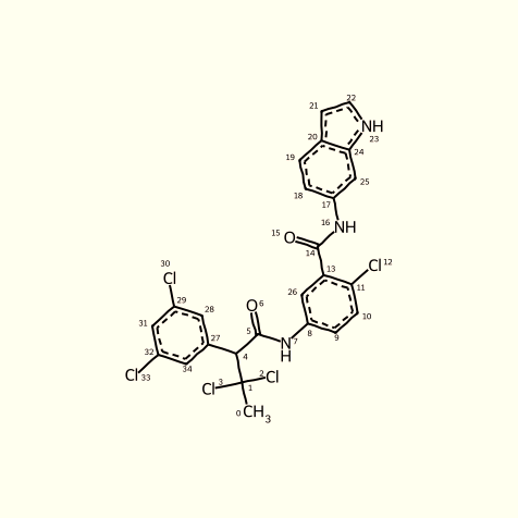 CC(Cl)(Cl)C(C(=O)Nc1ccc(Cl)c(C(=O)Nc2ccc3cc[nH]c3c2)c1)c1cc(Cl)cc(Cl)c1